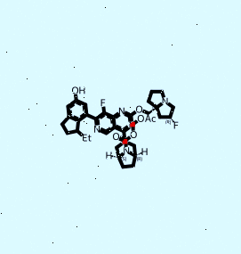 CCC1CCc2cc(O)cc(-c3ncc4c(N5C[C@H]6CC[C@@H](C5)N6C(=O)OCOC(C)=O)nc(OC[C@@]56CCCN5C[C@H](F)C6)nc4c3F)c21